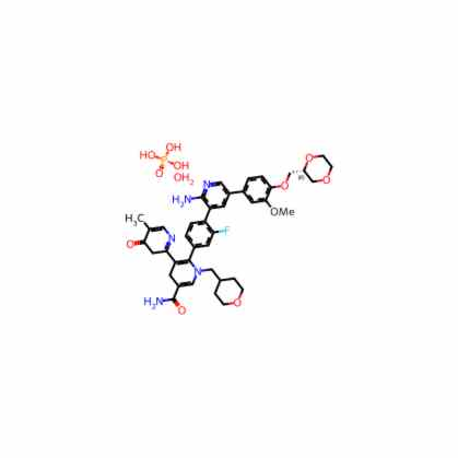 COc1cc(-c2cnc(N)c(-c3ccc(C4=C(C5=NC=C(C)C(=O)C5)CC(C(N)=O)=CN4CC4CCOCC4)cc3F)c2)ccc1OC[C@H]1COCCO1.O.O=P(O)(O)O